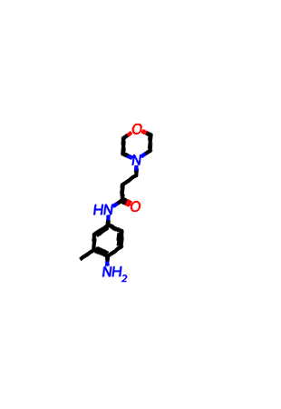 Cc1cc(NC(=O)CCN2CCOCC2)ccc1N